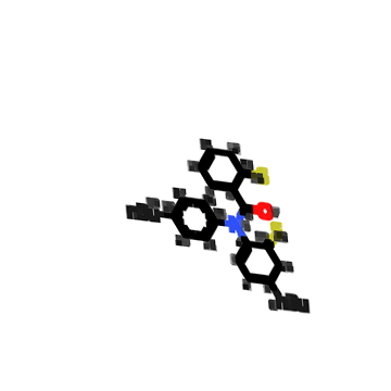 CCCCC1=CC=C(N(C(=O)C2=CC=CCC2=S)c2ccc(CCCC)cc2)C(=S)C1